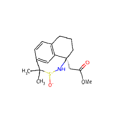 COC(=O)C[C@@]12CCCc3ccc(cc31)C(C)(C)[S+]([O-])N2